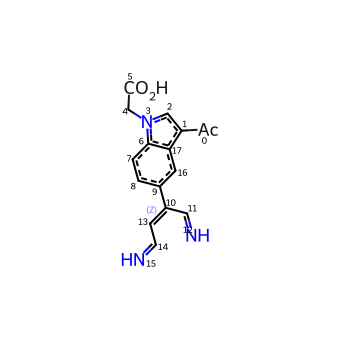 CC(=O)c1cn(CC(=O)O)c2ccc(/C(C=N)=C/C=N)cc12